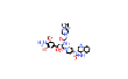 CN1CCN(CC(=O)N[C@@H](CC(=O)c2cc(Br)c(N)c(Br)c2)C(=O)N2CCC(n3c(=O)[nH]c4c5ccccc5ncc43)CC2)CC1